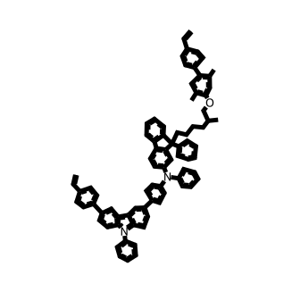 C=Cc1ccc(-c2ccc3c(c2)c2cc(-c4ccc(N(c5ccccc5)c5ccc6c(c5)C(CCCCC(C)COc5cc(C)c(-c7ccc(C=C)cc7)cc5C)(c5ccccc5)c5ccccc5-6)cc4)ccc2n3-c2ccccc2)cc1